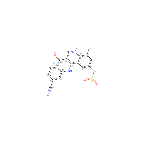 Cc1cc(C[SH](=O)=O)cc2c(Nc3cccc(C#N)c3)c(C(N)=O)cnc12